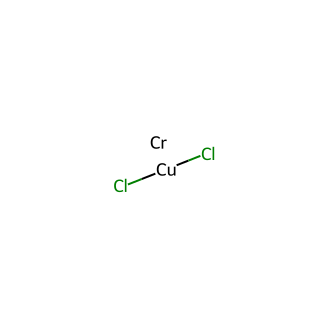 [Cl][Cu][Cl].[Cr]